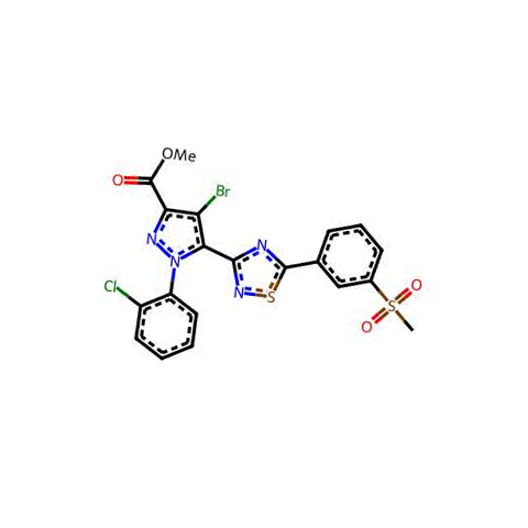 COC(=O)c1nn(-c2ccccc2Cl)c(-c2nsc(-c3cccc(S(C)(=O)=O)c3)n2)c1Br